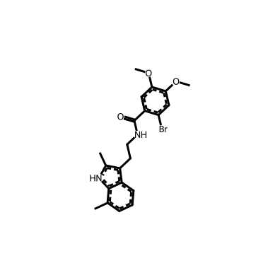 COc1cc(Br)c(C(=O)NCCc2c(C)[nH]c3c(C)cccc23)cc1OC